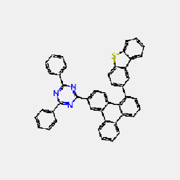 c1ccc(-c2nc(-c3ccccc3)nc(-c3ccc4c(c3)c3ccccc3c3cccc(-c5ccc6sc7ccccc7c6c5)c34)n2)cc1